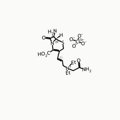 CC[N+](CC)(C/C=C/C1=C(C(=O)O)N2C(=O)[C@@H](N)[C@@H]2SC1)CC(N)=O.[O-][Cl+3]([O-])([O-])[O-]